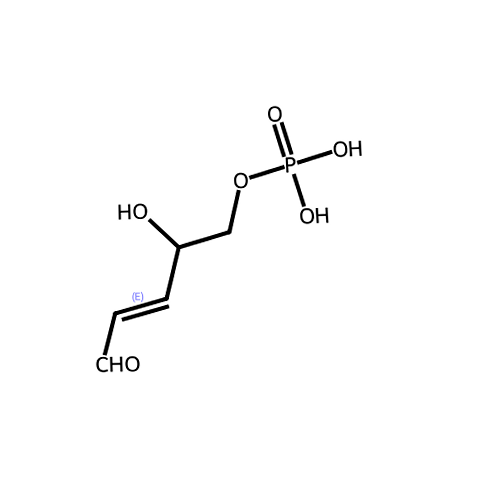 O=C/C=C/C(O)COP(=O)(O)O